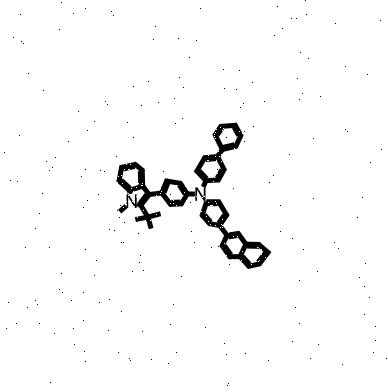 Cn1c(C(C)(C)C)c(-c2ccc(N(c3ccc(-c4ccccc4)cc3)c3ccc(-c4ccc5ccccc5c4)cc3)cc2)c2ccccc21